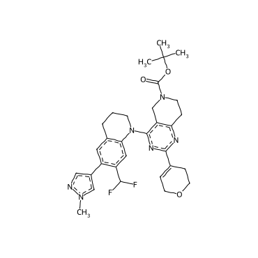 Cn1cc(-c2cc3c(cc2C(F)F)N(c2nc(C4=CCOCC4)nc4c2CN(C(=O)OC(C)(C)C)CC4)CCC3)cn1